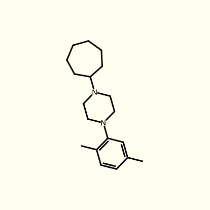 Cc1ccc(C)c(N2CCN(C3CCCCCC3)CC2)c1